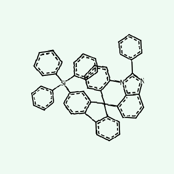 c1ccc(-c2nc3cccc4c3n2-c2ccccc2C42c3ccccc3-c3ccc([Si](c4ccccc4)(c4ccccc4)c4ccccc4)cc32)cc1